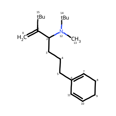 C=C(C(CCCC1=CCCC=C1)N(C)C(C)(C)C)C(C)(C)C